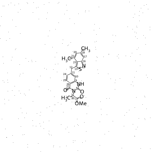 COC(=O)[C@@H](C)n1c(=O)[nH]c2cc(Cc3snc4cc(C)cc(C)c34)ccc2c1=O